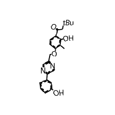 Cc1c(OCc2cnc(-c3cccc(O)c3)cn2)ccc(C(=O)CC(C)(C)C)c1O